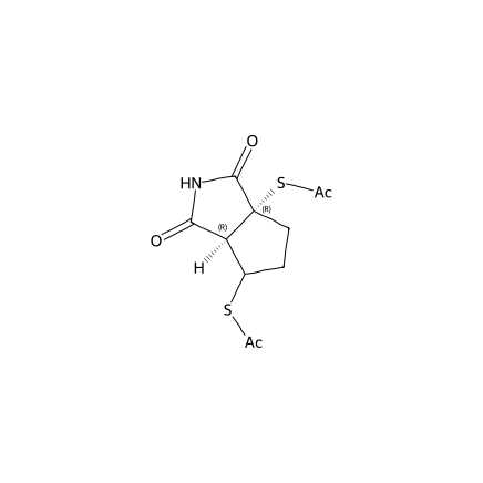 CC(=O)SC1CC[C@]2(SC(C)=O)C(=O)NC(=O)[C@H]12